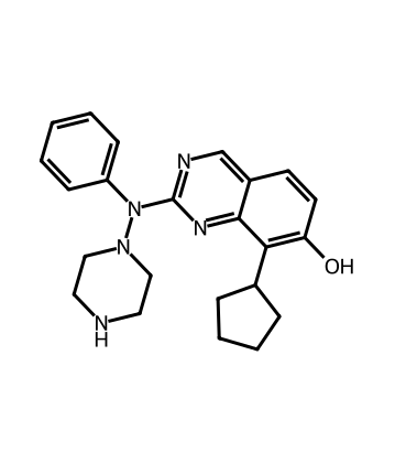 Oc1ccc2cnc(N(c3ccccc3)N3CCNCC3)nc2c1C1CCCC1